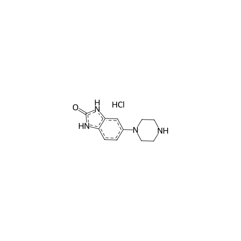 Cl.O=c1[nH]c2ccc(N3CCNCC3)cc2[nH]1